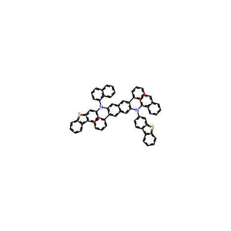 c1ccc(-c2cc3cc(N(c4ccc5c(c4)sc4ccccc45)c4cccc5ccccc45)c(-c4ccccc4)cc3cc2N(c2ccc3c(c2)sc2ccccc23)c2cccc3ccccc23)cc1